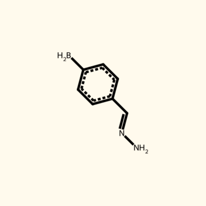 Bc1ccc(/C=N/N)cc1